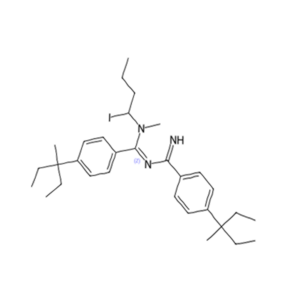 CCCC(I)N(C)/C(=N\C(=N)c1ccc(C(C)(CC)CC)cc1)c1ccc(C(C)(CC)CC)cc1